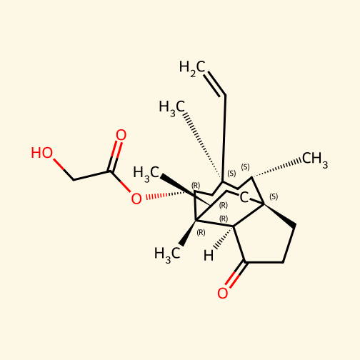 C=C[C@@]1(C)C[C@H](C)[C@]23CCC(=O)[C@H]2[C@@](C)([C@H](C)CC3)[C@H](OC(=O)CO)C1